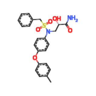 Cc1ccc(Oc2ccc(N(C[C@H](O)C(N)=O)S(=O)(=O)Cc3ccccc3)cc2)cc1